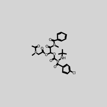 CC(=O)N(C)CC(=O)OC(OC(=O)N(NC(C)(C)C)C(=O)c1ccc(Cl)cc1)C(=O)N(C)C(=O)c1ccccc1